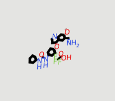 COc1cc2nccc(Oc3ccc(NC(=O)Nc4ccccc4)cc3)c2cc1CN.O=C(O)C(F)(F)F